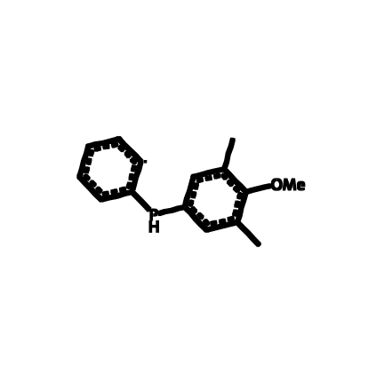 COc1c(C)cc(Pc2[c]cccc2)cc1C